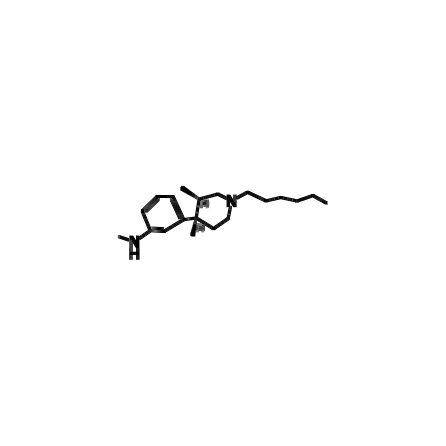 CCCCCCN1CC[C@](C)(c2cccc(NC)c2)[C@@H](C)C1